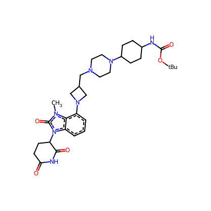 Cn1c(=O)n(C2CCC(=O)NC2=O)c2cccc(N3CC(CN4CCN(C5CCC(NC(=O)OC(C)(C)C)CC5)CC4)C3)c21